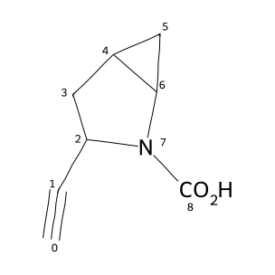 C#CC1CC2CC2N1C(=O)O